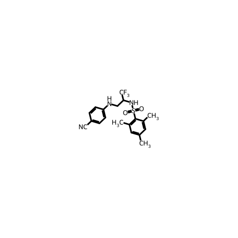 Cc1cc(C)c(S(=O)(=O)NC(CNc2ccc(C#N)cc2)C(F)(F)F)c(C)c1